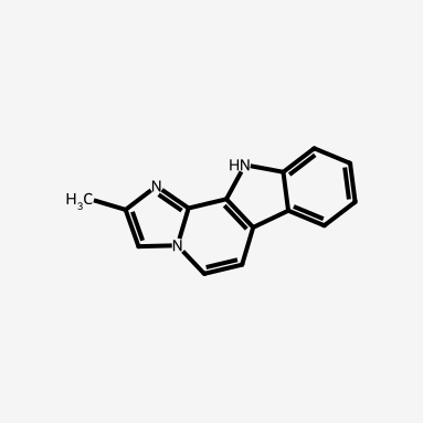 Cc1cn2ccc3c4ccccc4[nH]c3c2n1